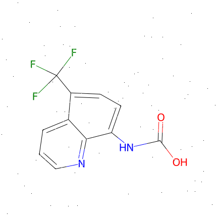 O=C(O)Nc1ccc(C(F)(F)F)c2cccnc12